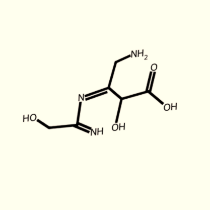 N=C(CO)N=C(CN)C(O)C(=O)O